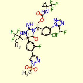 CC(C)(C[C@]1(c2ccc(-c3cnn(S(C)(=O)=O)c3)c(F)c2)NC(=N)N([C@H](COC(=O)NC2(C(F)(F)F)CC2)c2ccc(Cl)c(-n3ncnc3C(F)F)c2)C1=O)C(F)(F)F